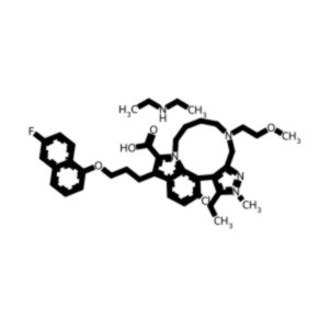 CCNCC.CCc1c2c(nn1C)CN(CCOC)CCCCn1c(C(=O)O)c(CCCOc3cccc4cc(F)ccc34)c3ccc(Cl)c-2c31